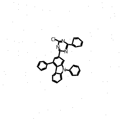 Clc1nc(-c2ccccc2)nc(-c2cc(-c3ccccc3)c3c4ccccc4n(-c4ccccc4)c3c2)n1